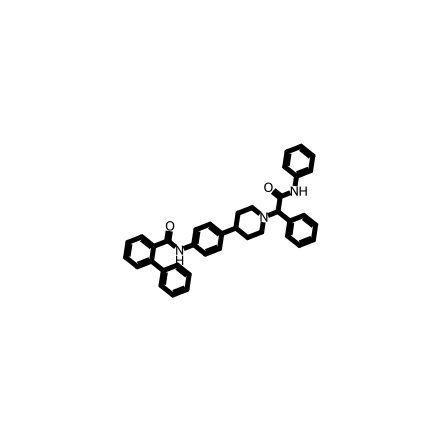 O=C(Nc1ccc(C2CCN(C(C(=O)Nc3ccccc3)c3ccccc3)CC2)cc1)c1ccccc1-c1ccccc1